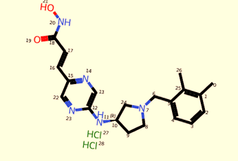 Cc1cccc(CN2CC[C@@H](Nc3cnc(C=CC(=O)NO)cn3)C2)c1C.Cl.Cl